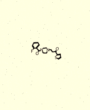 O=C(CCN1CCN(C(=O)c2ccccc2F)CC1)c1cccs1